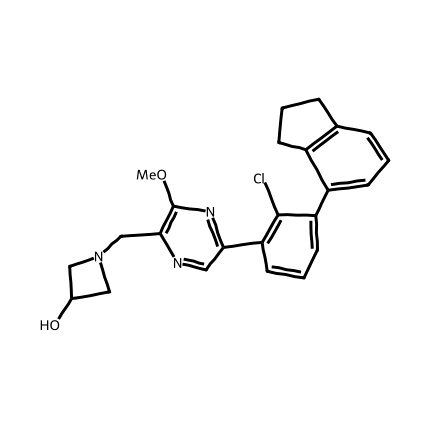 COc1nc(-c2cccc(-c3cccc4c3CCC4)c2Cl)cnc1CN1CC(O)C1